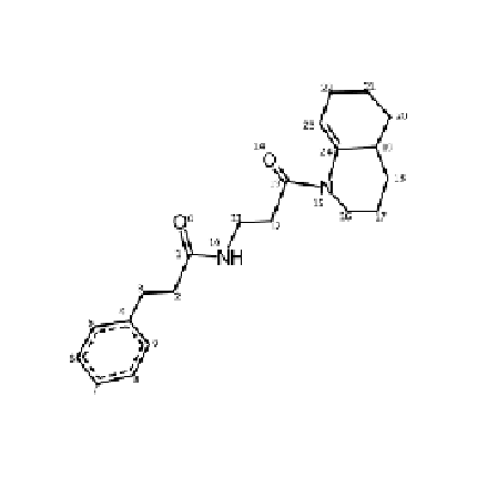 O=C(CCc1ccccc1)NCCC(=O)N1CCCC2CCCC=C21